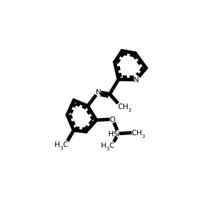 CC(=Nc1ccc(C)cc1O[SiH](C)C)c1ccccn1